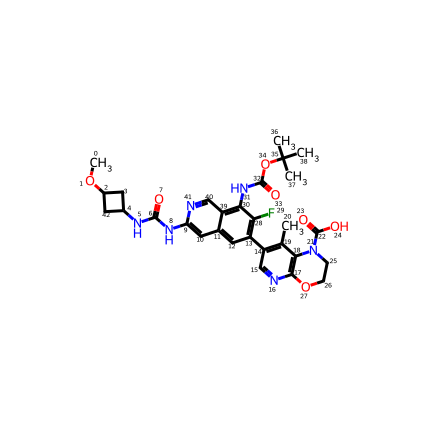 COC1CC(NC(=O)Nc2cc3cc(-c4cnc5c(c4C)N(C(=O)O)CCO5)c(F)c(NC(=O)OC(C)(C)C)c3cn2)C1